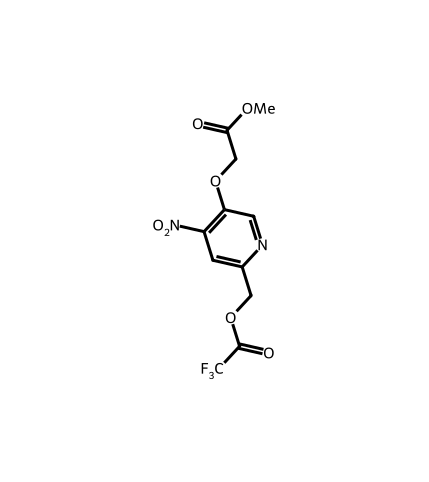 COC(=O)COc1cnc(COC(=O)C(F)(F)F)cc1[N+](=O)[O-]